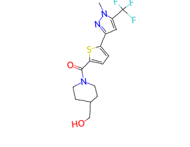 Cn1nc(-c2ccc(C(=O)N3CCC(CO)CC3)s2)cc1C(F)(F)F